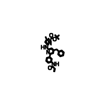 C=CC(=O)Nc1cccc(-c2cc(Cc3ccccc3)cc(Nc3cc(C)n(C(=O)OC(C)(C)C)n3)n2)c1